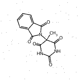 CC1(N2C(=O)c3ccccc3C2=O)C(=O)NC(=O)NC1=O